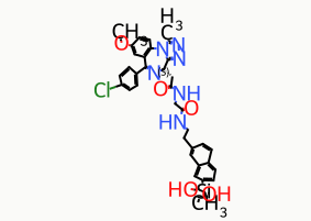 COc1ccc2c(c1)C(c1ccc(Cl)cc1)=N[C@@H](CC(=O)NCC(=O)NCCc1ccc3ccc([Si](C)(O)O)cc3c1)c1nnc(C)n1-2